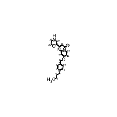 CCCCc1ccc(COc2ccn3c(=O)cc(C4CNCCO4)nc3c2)cc1